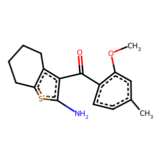 COc1cc(C)ccc1C(=O)c1c(N)sc2c1CCCC2